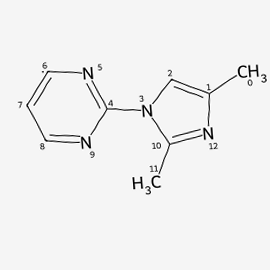 Cc1cn(-c2n[c]ccn2)c(C)n1